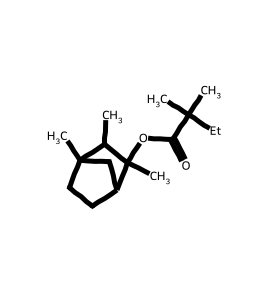 CCC(C)(C)C(=O)OC1(C)C2CCC(C)(C2)C1C